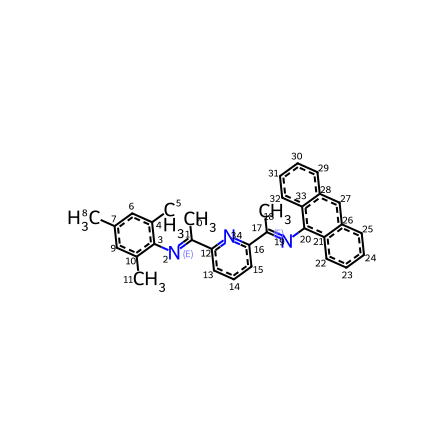 C/C(=N\c1c(C)cc(C)cc1C)c1cccc(/C(C)=N/c2c3ccccc3cc3ccccc23)n1